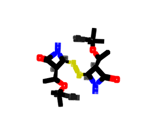 CC(O[Si](C)(C)C(C)(C)C)[C@H]1C(=O)N[C@@H]1SS[C@H]1NC(=O)[C@@H]1C(C)O[Si](C)(C)C(C)(C)C